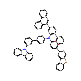 c1ccc(-c2ccc(-c3cc4ccccc4c4ccccc34)cc2N(c2ccc(-c3cccc(-n4c5ccccc5c5ccccc54)c3)cc2)c2ccc(-c3ccc4sc5ccccc5c4c3)cc2)cc1